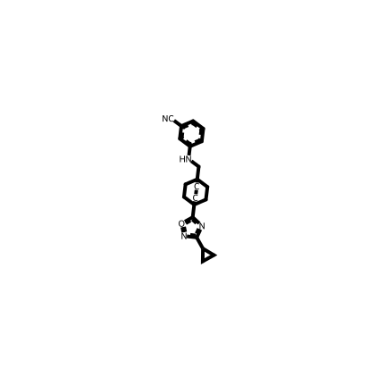 N#Cc1cccc(NCC23CCC(c4nc(C5CC5)no4)(CC2)CC3)c1